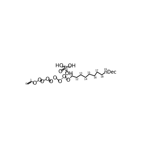 C=COOOOOOOOOCCCCCCCCCCCCCCCCCC.O=P(O)(O)O